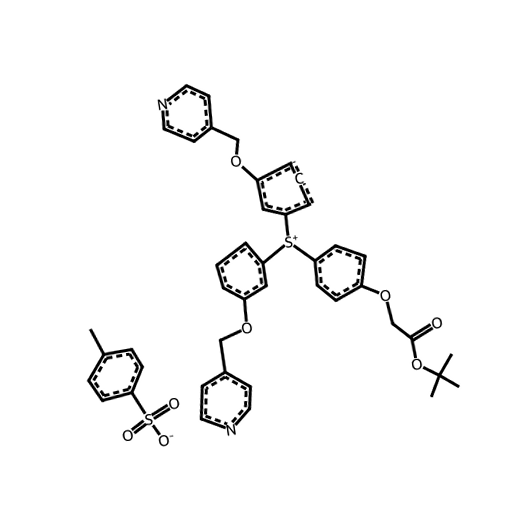 CC(C)(C)OC(=O)COc1ccc([S+](c2cccc(OCc3ccncc3)c2)c2cccc(OCc3ccncc3)c2)cc1.Cc1ccc(S(=O)(=O)[O-])cc1